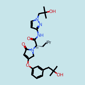 CC(C)C[C@@H](C(=O)Nc1ccn(CC(C)(C)O)n1)N1CC(Oc2cccc(CC(C)(C)O)c2)=CC1=O